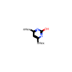 CCCCCCc1cc(CCCCCC)nc(O)n1